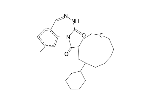 Cc1ccc2c(c1)N(C(=O)C1CCCCCCCCC(C3CCCCC3)C1)C(=O)NN=C2